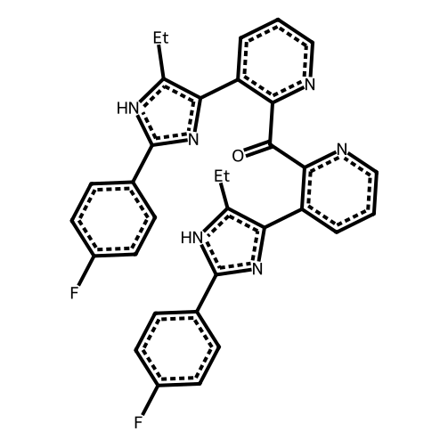 CCc1[nH]c(-c2ccc(F)cc2)nc1-c1cccnc1C(=O)c1ncccc1-c1nc(-c2ccc(F)cc2)[nH]c1CC